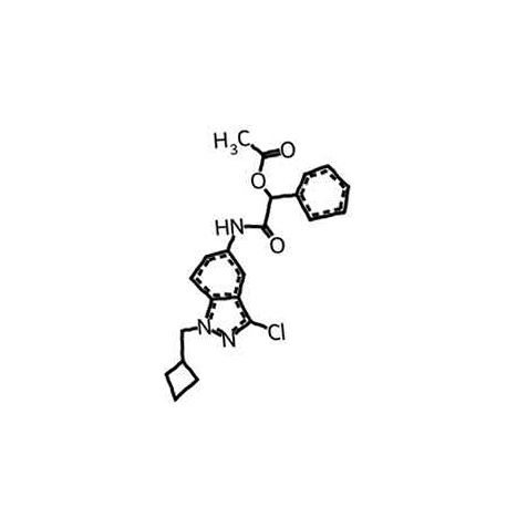 CC(=O)OC(C(=O)Nc1ccc2c(c1)c(Cl)nn2CC1CCC1)c1ccccc1